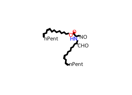 CCCCC/C=C\C/C=C\CCCCCCCCOC(=O)C(CN=O)NCC(C=O)CCCCCC/C=C\C/C=C\CCCCC